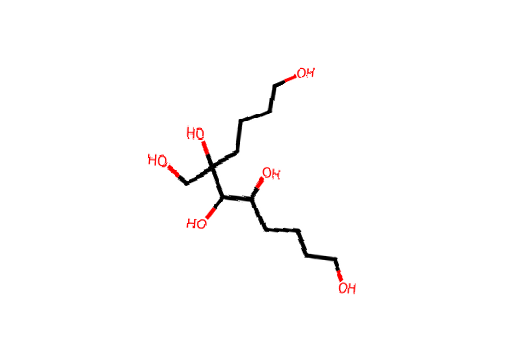 OCCCCC(O)C(O)C(O)(CO)CCCCO